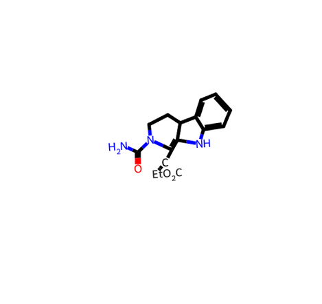 CCOC(=O)CC1=C2Nc3ccccc3C2CCN1C(N)=O